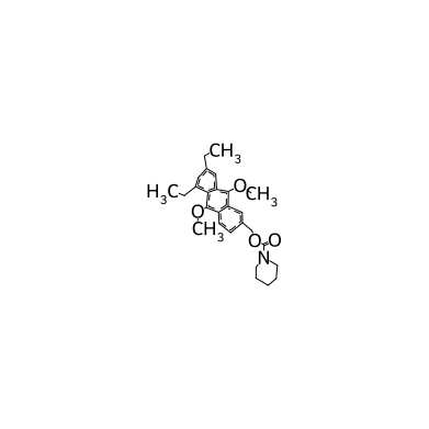 CCc1cc(CC)c2c(OC)c3ccc(COC(=O)N4CCCCC4)cc3c(OC)c2c1